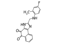 Cc1cc(F)ccc1NCc1nc2c([nH]1)C(=O)C(=O)c1ccccc1-2